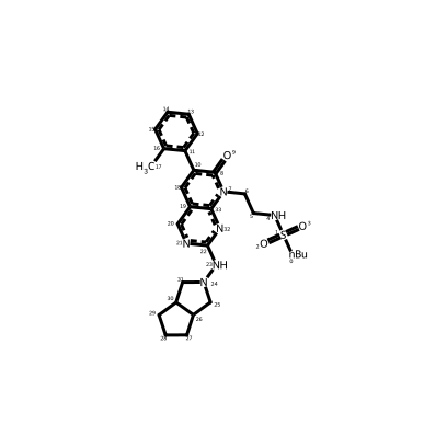 CCCCS(=O)(=O)NCCn1c(=O)c(-c2ccccc2C)cc2cnc(NN3CC4CCCC4C3)nc21